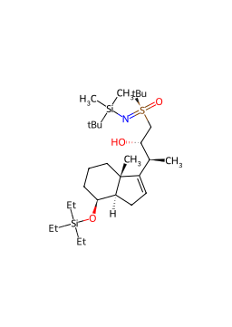 CC[Si](CC)(CC)O[C@H]1CCC[C@]2(C)C([C@H](C)[C@H](O)C[S@@](=O)(=N[Si](C)(C)C(C)(C)C)C(C)(C)C)=CC[C@@H]12